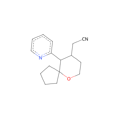 N#CCC1CCOC2(CCCC2)C1c1ccccn1